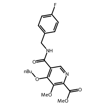 CCCCOc1c(C(=O)NCc2ccc(F)cc2)cnc(C(=O)OC)c1OC